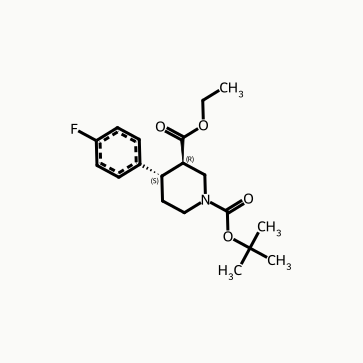 CCOC(=O)[C@H]1CN(C(=O)OC(C)(C)C)CC[C@@H]1c1ccc(F)cc1